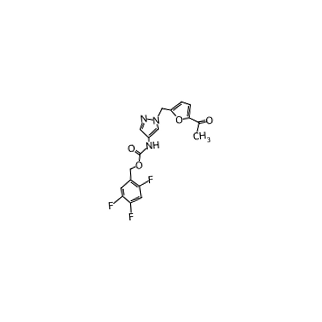 CC(=O)c1ccc(Cn2cc(NC(=O)OCc3cc(F)c(F)cc3F)cn2)o1